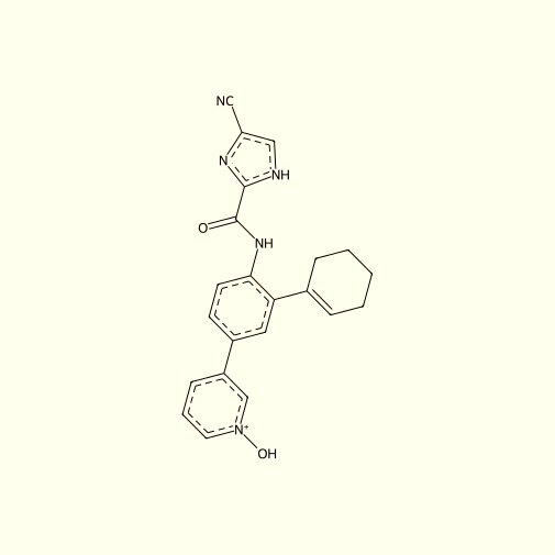 N#Cc1c[nH]c(C(=O)Nc2ccc(-c3ccc[n+](O)c3)cc2C2=CCCCC2)n1